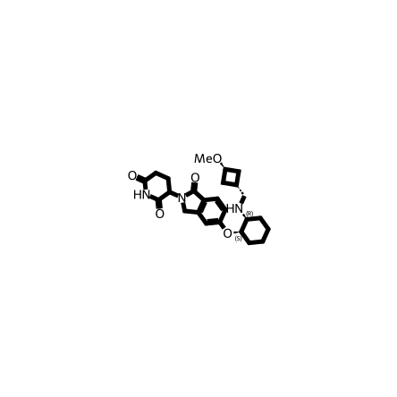 CO[C@H]1C[C@@H](CN[C@@H]2CCCC[C@@H]2Oc2ccc3c(c2)CN(C2CCC(=O)NC2=O)C3=O)C1